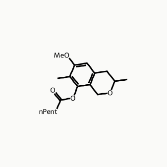 CCCCCC(=O)Oc1c(C)c(OC)cc2c1COC(C)C2